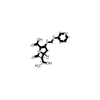 C[C@@H](O)[C@H]1C(=O)N2C(C(=O)O)=C(SCSc3cccnc3)C[C@H]12